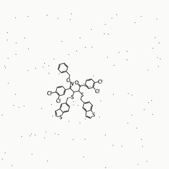 O=C(c1ccc(Cl)c(Cl)c1)C(SCc1ccc2sccc2c1)C(SCc1ccc2sccc2c1)C(=NOCc1ccccc1)c1ccc(Cl)c(Cl)c1